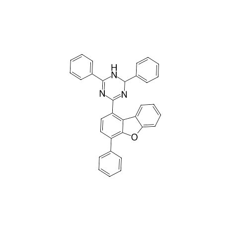 c1ccc(C2=NC(c3ccc(-c4ccccc4)c4oc5ccccc5c34)=NC(c3ccccc3)N2)cc1